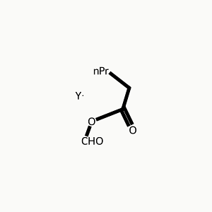 CCCCC(=O)OC=O.[Y]